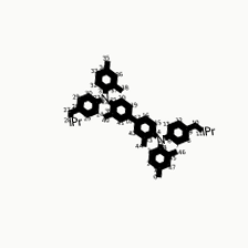 Cc1ccc(N(c2ccc(CC(C)C)cc2)c2ccc(-c3ccc(N(c4ccc(CC(C)C)cc4)c4ccc(C)cc4C)c(C)c3)cc2C)c(C)c1